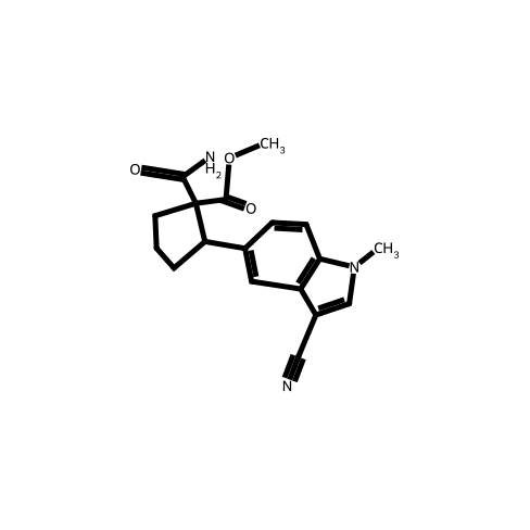 COC(=O)C1(C(N)=O)CCCC1c1ccc2c(c1)c(C#N)cn2C